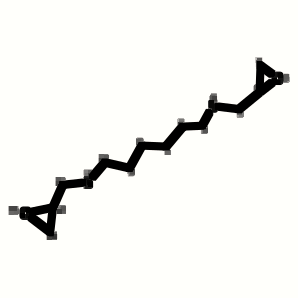 C(CCCSCC1CO1)CCSCC1CO1